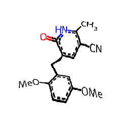 COc1ccc(OC)c(Cc2cc(C#N)c(C)[nH]c2=O)c1